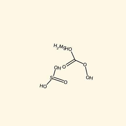 O=C(O)OO.O=[Si](O)O.[MgH2]